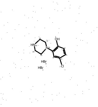 Br.Br.Oc1ccc(Cl)cc1N1CCNCC1